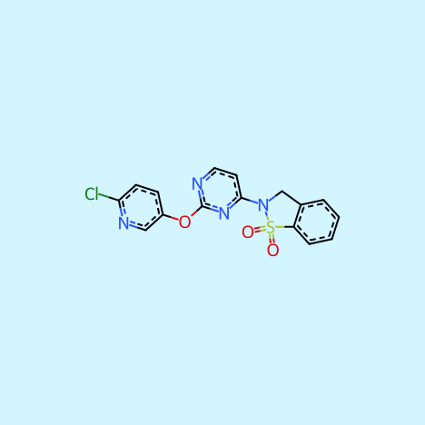 O=S1(=O)c2ccccc2CN1c1ccnc(Oc2ccc(Cl)nc2)n1